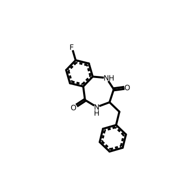 O=C1NC(Cc2ccccc2)C(=O)Nc2cc(F)ccc21